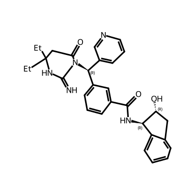 CCC1(CC)CC(=O)N([C@@H](c2cccnc2)c2cccc(C(=O)N[C@@H]3c4ccccc4C[C@H]3O)c2)C(=N)N1